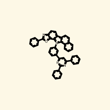 c1ccc(-c2cc(-c3cccc(-n4c5c6ccccc6ccc5c5ccc6nc(-c7ccccc7)oc6c54)c3)nc(-c3ccccc3)n2)cc1